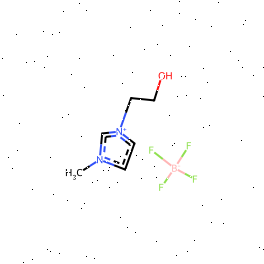 Cn1cc[n+](CCO)c1.F[B-](F)(F)F